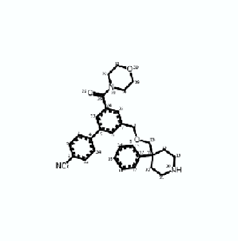 N#Cc1ccc(-c2cc(COCC3(c4ccccc4)CCNCC3)cc(C(=O)N3CCOCC3)c2)cc1